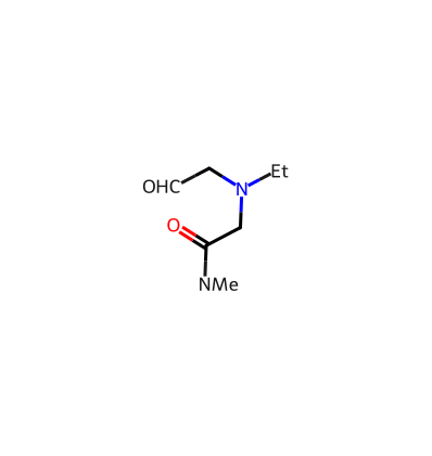 CCN(CC=O)CC(=O)NC